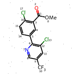 COC(=O)c1cc(-c2ncc(C(F)(F)F)cc2Cl)ccc1Cl